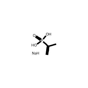 C=C(C)P(=O)(O)O.[NaH]